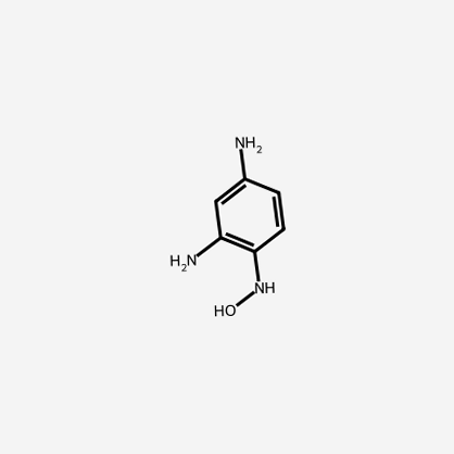 Nc1ccc(NO)c(N)c1